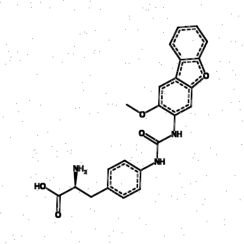 COc1cc2c(cc1NC(=O)Nc1ccc(C[C@H](N)C(=O)O)cc1)oc1ccccc12